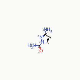 NC(=O)n1ccc(N)n1